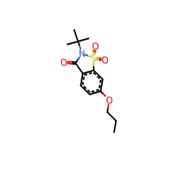 CCCOc1ccc2c(c1)S(=O)(=O)N(C(C)(C)C)C2=O